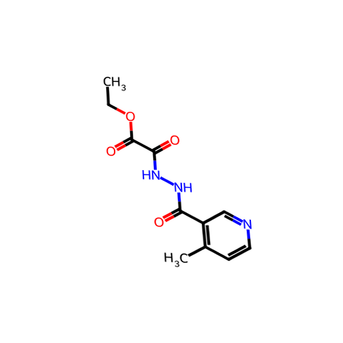 CCOC(=O)C(=O)NNC(=O)c1cnccc1C